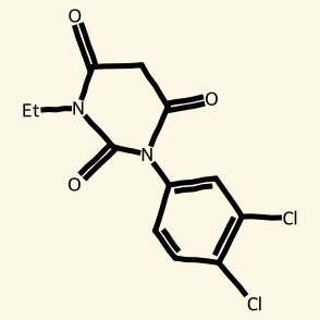 CCN1C(=O)CC(=O)N(c2ccc(Cl)c(Cl)c2)C1=O